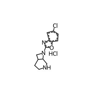 Cl.Clc1ccc2oc(N3CC4CCNCC43)nc2c1